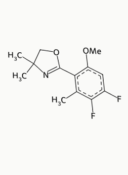 COc1cc(F)c(F)c(C)c1C1=NC(C)(C)CO1